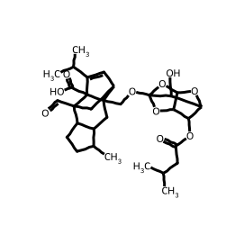 CC(C)CC(=O)OC1C2OC3(OCC45CC6C(C)CCC6C6(C=O)CC4C=C(C(C)C)C65C(=O)O)OC2OC1C3O